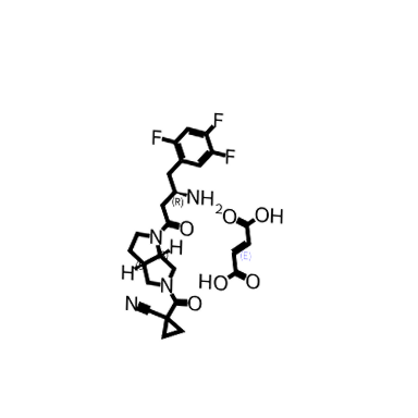 N#CC1(C(=O)N2C[C@@H]3CCN(C(=O)C[C@H](N)Cc4cc(F)c(F)cc4F)[C@@H]3C2)CC1.O=C(O)/C=C/C(=O)O